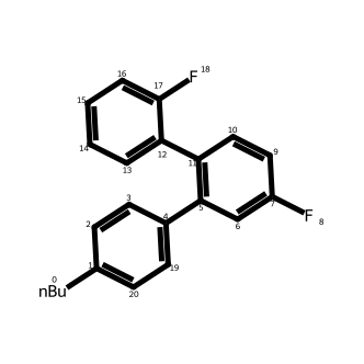 CCCCc1ccc(-c2cc(F)ccc2-c2ccccc2F)cc1